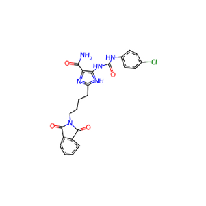 NC(=O)c1nc(CCCCN2C(=O)c3ccccc3C2=O)[nH]c1NC(=O)Nc1ccc(Cl)cc1